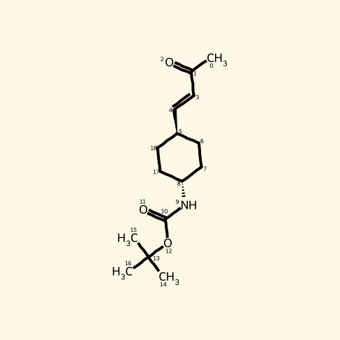 CC(=O)C=C[C@H]1CC[C@H](NC(=O)OC(C)(C)C)CC1